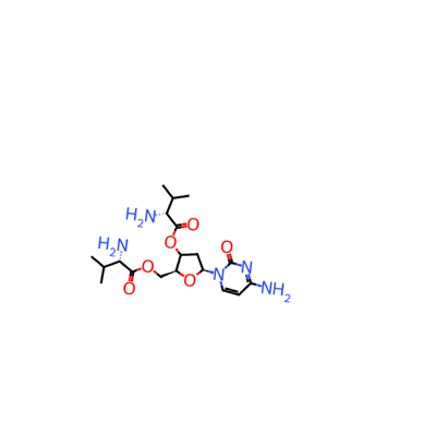 CC(C)[C@H](N)C(=O)OC[C@@H]1O[C@H](n2ccc(N)nc2=O)CC1OC(=O)[C@H](N)C(C)C